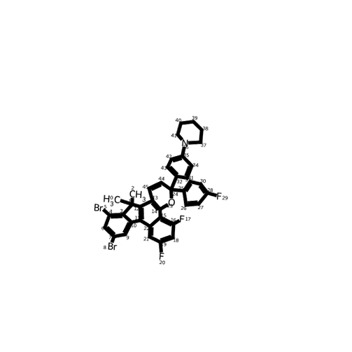 CC1(C)c2c(Br)cc(Br)cc2-c2c1c1c(c3c(F)cc(F)cc23)OC(c2ccc(F)cc2)(c2ccc(N3CCCCC3)cc2)C=C1